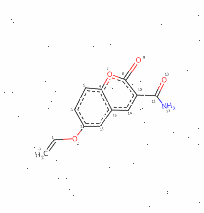 C=COc1ccc2oc(=O)c(C(N)=O)cc2c1